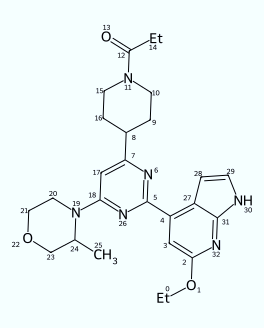 CCOc1cc(-c2nc(C3CCN(C(=O)CC)CC3)cc(N3CCOCC3C)n2)c2cc[nH]c2n1